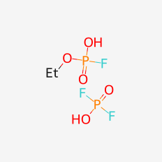 CCOP(=O)(O)F.O=P(O)(F)F